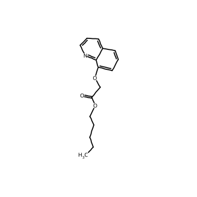 CCCCCOC(=O)COc1cccc2cccnc12